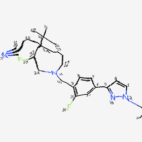 CCn1ccc(-c2ccc(CN3CCC(CC#N)(C(C)(C)C)C(F)C3)c(F)c2)n1